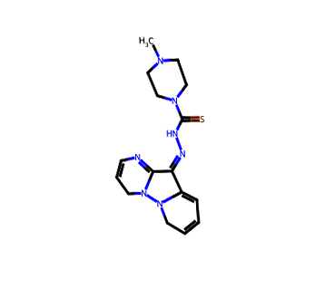 CN1CCN(C(=S)N/N=c2/c3n(n4c2=NC=CC4)CC=CC=3)CC1